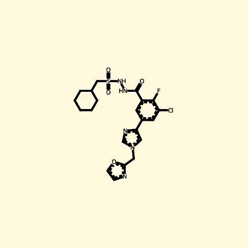 O=C(NNS(=O)(=O)CC1CCCCC1)c1cc(-c2cn(Cc3ncco3)cn2)cc(Cl)c1F